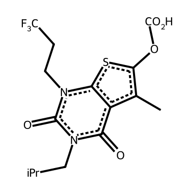 Cc1c(OC(=O)O)sc2c1c(=O)n(CC(C)C)c(=O)n2CCC(F)(F)F